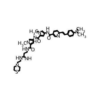 CN(C)c1ccc(/C=C/c2ccc(C(=O)Nc3cc(C(=O)Nc4cc(C(=O)NCCC(=N)NCCN5CCSCC5)n(C)c4)n(C)c3)cn2)cc1